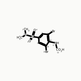 CN(C)S(=O)(=O)c1cc(Br)c(NC(=O)O)c(Br)c1